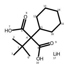 CC(C)(C)C(C(=O)O)(C(=O)O)C1CCCCC1.[LiH]